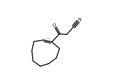 N#CCC(=O)/C1=C/CCCCCCC1